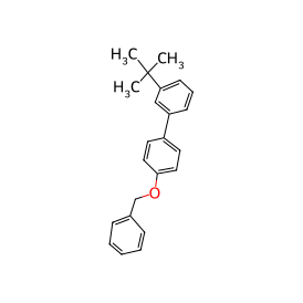 CC(C)(C)c1cccc(-c2ccc(OCc3ccccc3)cc2)c1